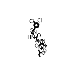 CCC(=O)Cn1c(=O)c2c(ncn2[C@@H](C)C(=O)Nc2csc(-c3ccc(Cl)c(Cl)c3)n2)n(C)c1=O